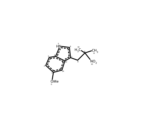 COc1ccc2[nH]cc(CC(C)(C)[N+](=O)[O-])c2c1